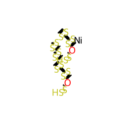 C1CSCS1.C1CSCS1.SSCOC1=CSC(=C2SC=CS2)S1.SSCOC1=CSC(=C2SC=CS2)S1.[Ni]